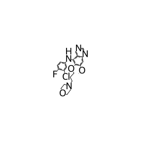 COc1cc2ncncc2c(Nc2ccc(F)c(Cl)c2)c1OCCCN1CCOCC1